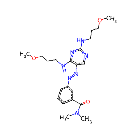 COCCCNc1ncc(N=Nc2cccc(C(=O)N(C)C)c2)c(NCCCOC)n1